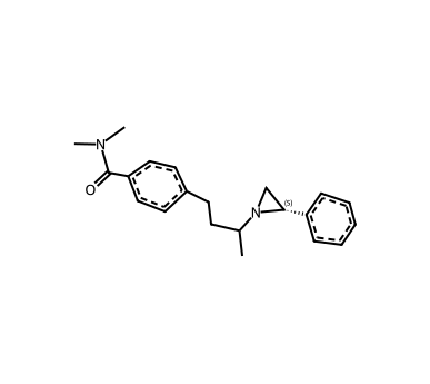 CC(CCc1ccc(C(=O)N(C)C)cc1)N1C[C@@H]1c1ccccc1